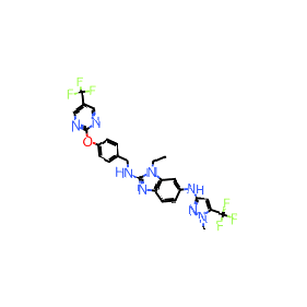 CCn1c(NCc2ccc(Oc3ncc(C(F)(F)F)cn3)cc2)nc2ccc(Nc3cc(C(F)(F)F)n(C)n3)cc21